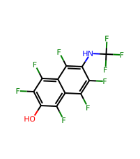 Oc1c(F)c(F)c2c(F)c(NC(F)(F)F)c(F)c(F)c2c1F